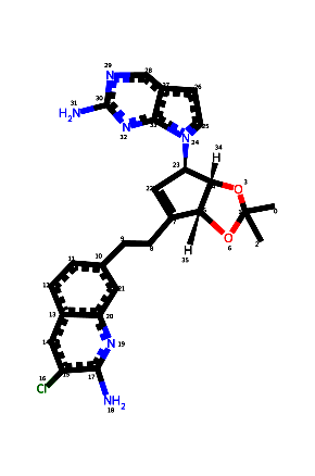 CC1(C)O[C@@H]2[C@H](O1)C(CCc1ccc3cc(Cl)c(N)nc3c1)=C[C@H]2n1ccc2cnc(N)nc21